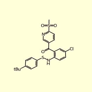 CC(C)(C)c1ccc(SNc2ccc(Cl)cc2C(=O)c2ccc(S(C)(=O)=O)nc2)cc1